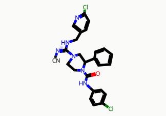 N#C/N=C(/NCc1ccc(Cl)nc1)N1CCN(C(=O)Nc2ccc(Cl)cc2)C(c2ccccc2)C1